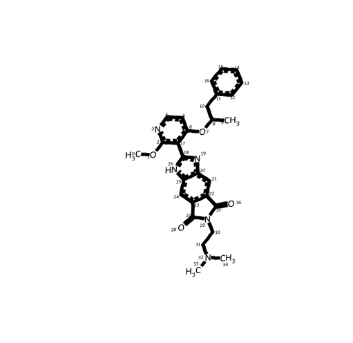 COc1nccc(OC(C)Cc2ccccc2)c1-c1nc2cc3c(cc2[nH]1)C(=O)N(CCN(C)C)C3=O